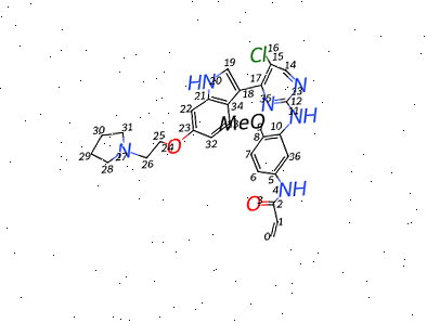 C=CC(=O)Nc1ccc(OC)c(Nc2ncc(Cl)c(-c3c[nH]c4cc(OCCN5CCCC5)ccc34)n2)c1